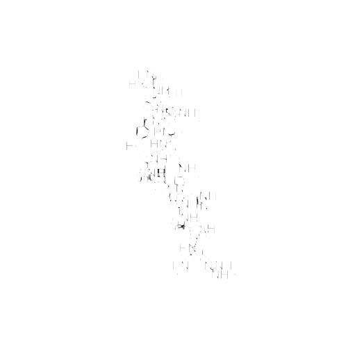 C[C@H](NC(=O)[C@@H]1CCCN1C(=O)C(Cc1cnc[nH]1)NC(=O)[C@H](CS)NC(=O)C(CS)CC(=O)[C@H](CCCN=C(N)N)NC(=O)CN)C(=O)N[C@@H](CS)C(=O)NCC(=O)N[C@@H](CCCCN)C(=O)N[C@@H](CC(N)=O)C(=O)N[C@@H](Cc1ccc(O)cc1)C(=O)N[C@@H](CO)C(=O)N[C@@H](CS)C(N)=O